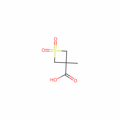 CC1(C(=O)O)CS(=O)(=O)C1